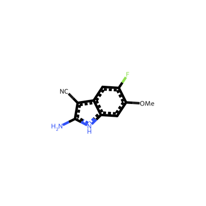 COc1cc2[nH]c(N)c(C#N)c2cc1F